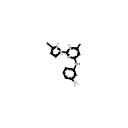 Cc1cc(Nc2cccc(C(F)(F)F)c2)nc(-n2ccc(C)n2)n1